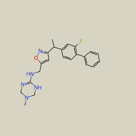 CC(c1ccc(-c2ccccc2)c(F)c1)c1cc(CNC2=NCN(C)CN2)on1